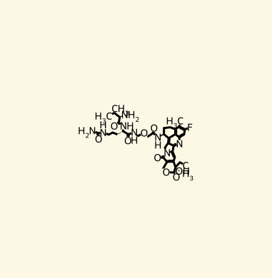 CC[C@@]1(O)C(=O)OCc2c1cc1n(c2=O)Cc2c-1nc1cc(F)c(C)c3c1c2[C@@H](NC(=O)COCNC(=O)[C@H](CCCNC(N)=O)NC(=O)[C@@H](N)C(C)C)CC3